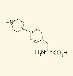 NC(Cc1ccc(N2CCNCC2)cc1)C(=O)O